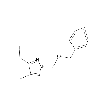 Cc1cn(COCc2ccccc2)nc1CI